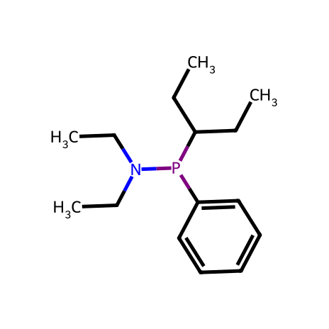 CCC(CC)P(c1ccccc1)N(CC)CC